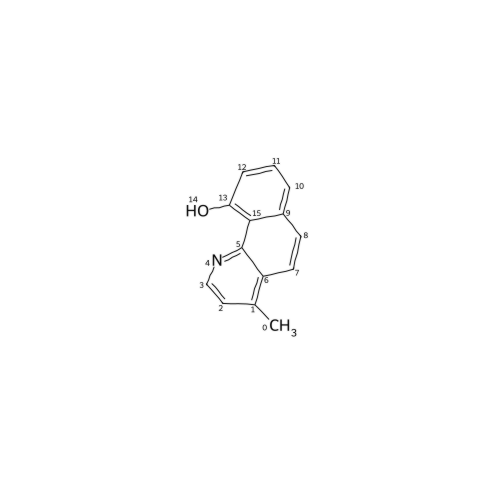 Cc1ccnc2c1ccc1cccc(O)c12